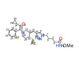 CONC(=O)CCCCn1cc(C=C2CN(C(C(=O)C3CC3)c3ccccc3F)CCC2SC(C)=O)nn1